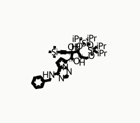 CC(C)[Si]1(C(C)C)OC[C@H]2O[C@@H](c3ccc4c(NCc5ccccc5)ncnn34)[C@@](O)(C#C[Si](C)(C)C)[C@@H]2O[Si](C(C)C)(C(C)C)O1